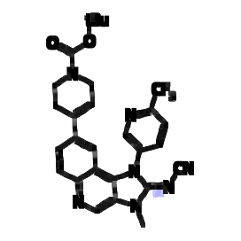 Cn1/c(=N/C#N)n(-c2ccc(C(F)(F)F)nc2)c2c3cc(C4=CCN(C(=O)OC(C)(C)C)CC4)ccc3ncc21